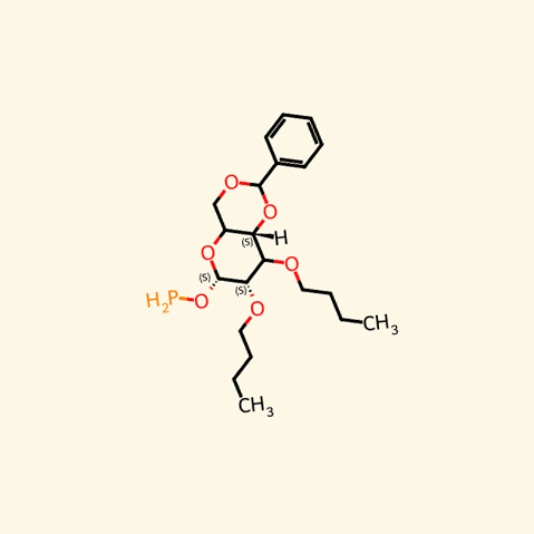 CCCCOC1[C@H]2OC(c3ccccc3)OCC2O[C@@H](OP)[C@H]1OCCCC